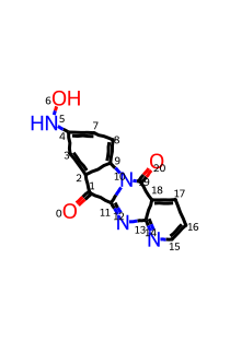 O=C1c2cc(NO)ccc2-n2c1nc1ncccc1c2=O